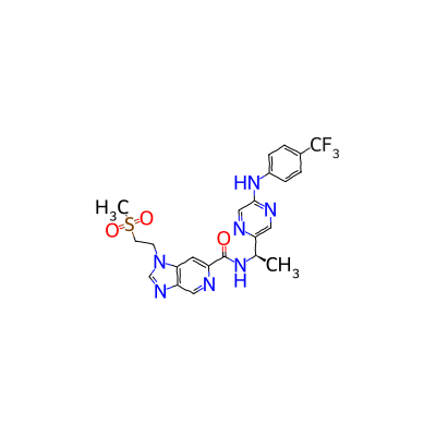 C[C@@H](NC(=O)c1cc2c(cn1)ncn2CCS(C)(=O)=O)c1cnc(Nc2ccc(C(F)(F)F)cc2)cn1